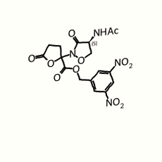 CC(=O)N[C@H]1CON(C2(C(=O)OCc3cc([N+](=O)[O-])cc([N+](=O)[O-])c3)CCC(=O)O2)C1=O